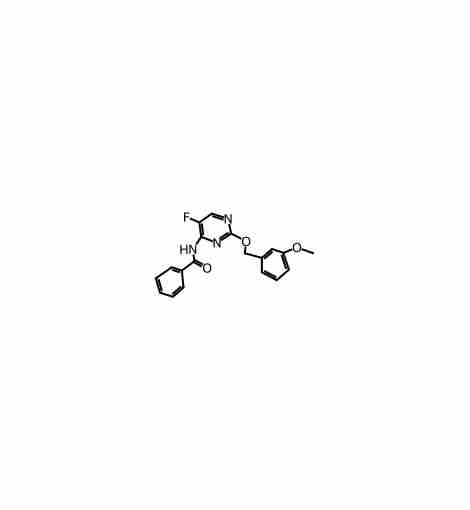 COc1cccc(COc2ncc(F)c(NC(=O)c3ccccc3)n2)c1